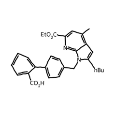 CCCCc1cc2c(C)cc(C(=O)OCC)nc2n1Cc1ccc(-c2ccccc2C(=O)O)cc1